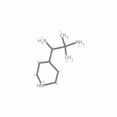 CC(C)(N)C(N)C1CCNCC1